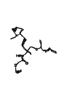 CCCCCC(=O)OC[C@@](C)(C=Cc1cccn1C)NC(=O)OC(C)(C)C